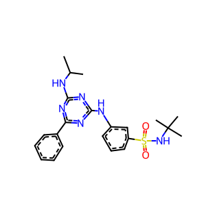 CC(C)Nc1nc(Nc2cccc(S(=O)(=O)NC(C)(C)C)c2)nc(-c2ccccc2)n1